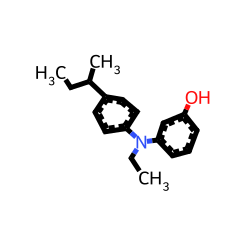 CCC(C)c1ccc(N(CC)c2cccc(O)c2)cc1